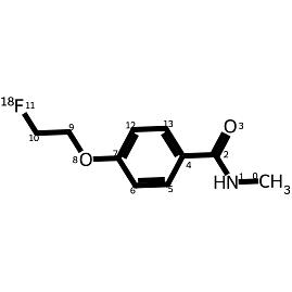 CNC(=O)c1ccc(OCC[18F])cc1